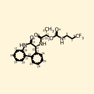 C[C@H](OC(=O)NCCC(F)(F)F)C(=O)N[C@@H]1C(=O)Nc2ccccc2-c2ccccc21